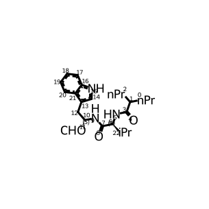 CCCC(CCC)C(=O)N[C@H](C(=O)N[C@H](C=O)Cc1c[nH]c2ccccc12)C(C)C